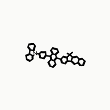 CC1(C)c2cc(-c3c4ccccc4c(-c4ccc(-n5c6ccccc6c6ccccc65)cc4)c4ccccc34)ccc2-c2cc3ccccc3cc21